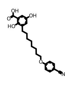 N#Cc1ccc(OCCCCCCCCc2cc(O)cc(C(=O)O)c2O)cc1